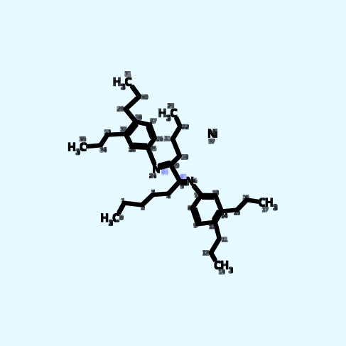 CCCCCC(=N\c1ccc(CCC)c(CCC)c1)/C(CCCC)=N/c1ccc(CCC)c(CCC)c1.[Ni]